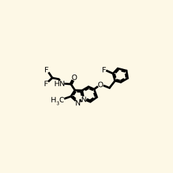 Cc1nn2ccc(OCc3ccccc3F)cc2c1C(=O)NCC(F)F